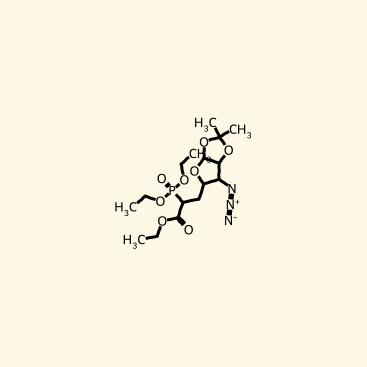 CCOC(=O)C(CC1OC2OC(C)(C)OC2C1N=[N+]=[N-])P(=O)(OCC)OCC